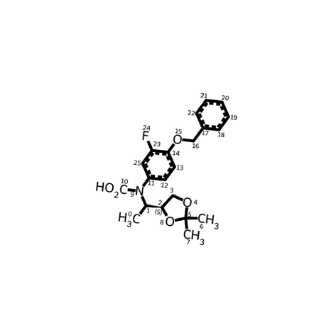 CC([C@H]1COC(C)(C)O1)N(C(=O)O)c1ccc(OCc2ccccc2)c(F)c1